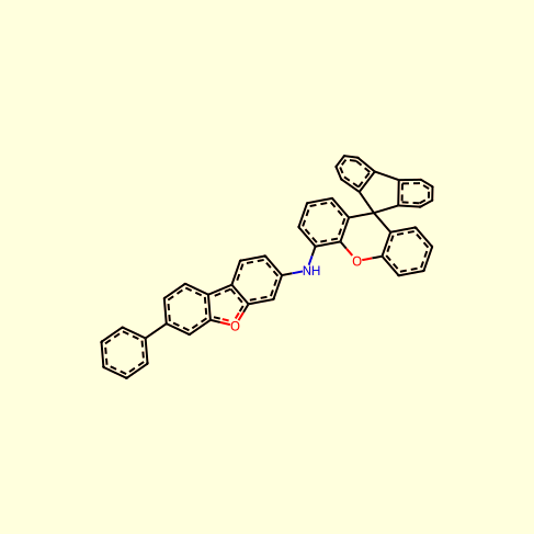 c1ccc(-c2ccc3c(c2)oc2cc(Nc4cccc5c4Oc4ccccc4C54c5ccccc5-c5ccccc54)ccc23)cc1